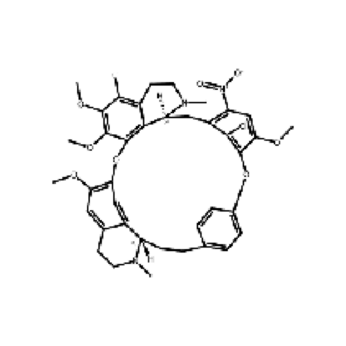 COc1cc2c3cc1Oc1c(OC)c(OC)c(Cl)c4c1[C@H](Cc1c([N+](=O)[O-])cc(OC)c(c1Cl)Oc1ccc(cc1)CC[C@@H]3N(C)CC2)N(C)CC4